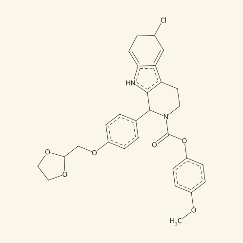 COc1ccc(OC(=O)N2CCc3c([nH]c4c3=CC(Cl)CC=4)C2c2ccc(OCC3OCCO3)cc2)cc1